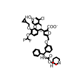 O=C(N[C@@H](c1ccccc1)c1cccc(OCc2cc([C@@H](Cc3c(Cl)c[n+](O)cc3Cl)c3ccc(OC(F)F)c(OCC4CC4)c3)c(C(=O)[O-])o2)c1)O[C@H]1CN2CCC1CC2